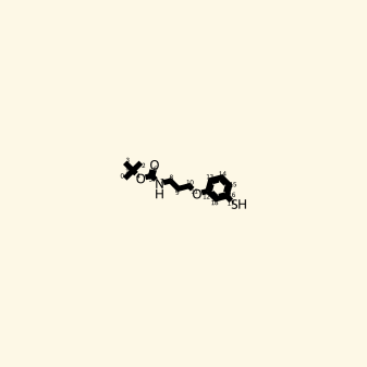 CC(C)(C)OC(=O)NCCCOc1cccc(S)c1